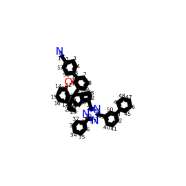 N#Cc1ccc(-c2cccc3c2Oc2ccccc2[C@]32c3ccccc3-c3c(-c4nc(-c5ccccc5)nc(-c5cccc(-c6ccccc6)c5)n4)cccc32)cc1